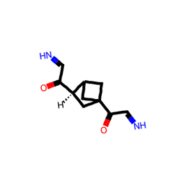 N=CC(=O)[C@@H]1CC2(C(=O)C=N)CC1C2